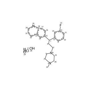 CN1CCN(CCC(c2cccc(F)c2)c2ccc3ncccc3c2)CC1.Cl.Cl.Cl